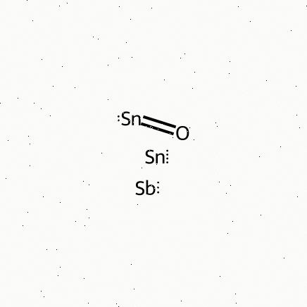 [O]=[Sn].[Sb].[Sn]